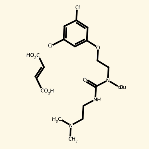 CN(C)CCNC(=O)N(CCOc1cc(Cl)cc(Cl)c1)C(C)(C)C.O=C(O)C=CC(=O)O